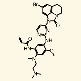 C=CC(=O)Nc1cc(Nc2nccc(-n3c(=O)n4c5c(cc(Br)cc53)CCC4)n2)c(OC)cc1N(C)CCN(C)C